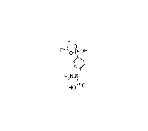 N[C@@H](Cc1ccc(P(=O)(O)OC(F)F)cc1)C(=O)O